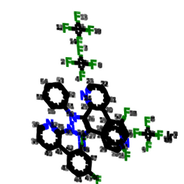 F[B-](F)(F)F.F[B-](F)(F)F.F[B-](F)(F)F.Fc1ccc(-c2cccnc2C2=C(c3ccncc3)NN(c3ncccc3-c3ccc(F)cc3F)N2c2ccccc2)c(F)c1.[Ir+3]